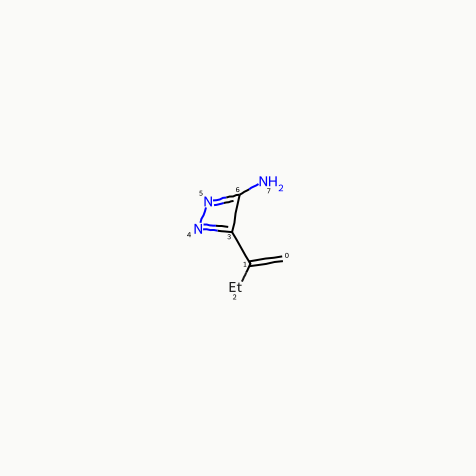 C=C(CC)C1=NN=C1N